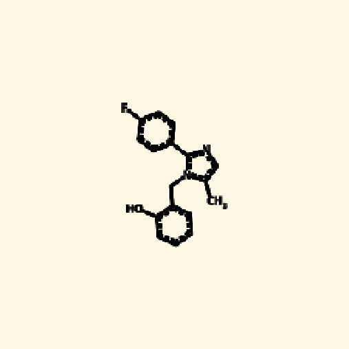 Cc1cnc(-c2ccc(F)cc2)n1Cc1ccccc1O